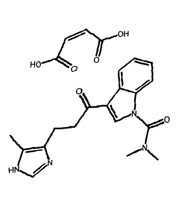 Cc1[nH]cnc1CCC(=O)c1cn(C(=O)N(C)C)c2ccccc12.O=C(O)/C=C\C(=O)O